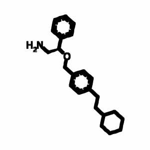 NC[C@H](OCc1ccc(CCC2CCCCC2)cc1)c1ccccc1